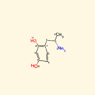 CC(N)Cc1ccc(O)cc1O